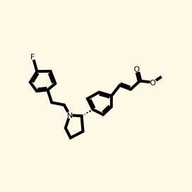 COC(=O)C=Cc1ccc([C@@H]2CCCN2CCc2ccc(F)cc2)cc1